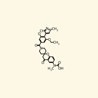 CCOc1cc(C(=O)N2CCC3(CC2)CC(=O)c2cc(N(C)C(=O)O)ccc2O3)cc(OC)c1-c1cnn(C)c1